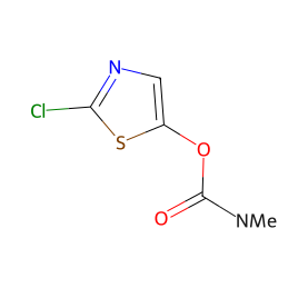 CNC(=O)Oc1cnc(Cl)s1